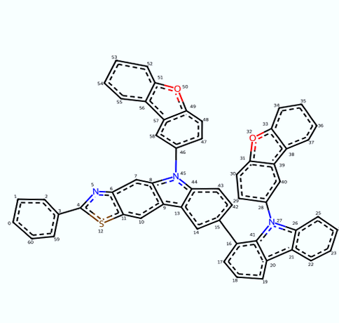 c1ccc(-c2nc3cc4c(cc3s2)c2cc(-c3cccc5c6ccccc6n(-c6ccc7oc8ccccc8c7c6)c35)ccc2n4-c2ccc3oc4ccccc4c3c2)cc1